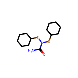 NC(=O)N(SC1CCCCC1)SC1CCCCC1